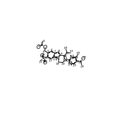 CC(=O)OCc1cc2cc3n(c2cc1S(C)(=O)=O)CCN(c1ncc(C(C)=O)c(C)n1)[C@@H]3C(C)C